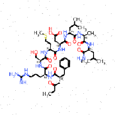 CCC(=O)C[C@@H](Cc1ccccc1)C(=O)N[C@@H](CCCNC(=N)N)C(=O)N[C@@H](CO)C(=O)N[C@@H](CCSC)C(=O)N[C@@H](CC(=O)O)C(=O)N[C@@H](CC(C)C)C(=O)N[C@@H](C)C(=O)N[C@@H](CC(C)C)C(N)=O